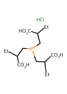 CCC(CP(CC(CC)C(=O)O)CC(CC)C(=O)O)C(=O)O.Cl